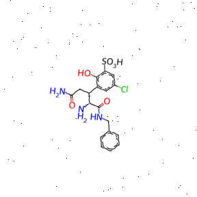 NC(=O)CC(c1cc(Cl)cc(S(=O)(=O)O)c1O)[C@H](N)C(=O)NCc1ccccc1